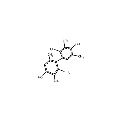 Cc1cc(-c2c(C)cc(O)c(C)c2C)c(C)c(C)c1O